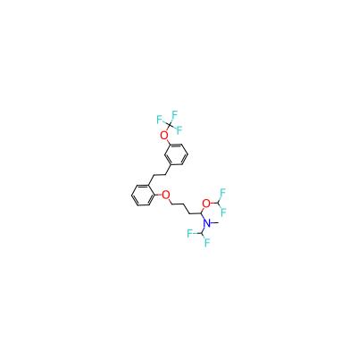 CN(C(F)F)C(CCCOc1ccccc1CCc1cccc(OC(F)(F)F)c1)OC(F)F